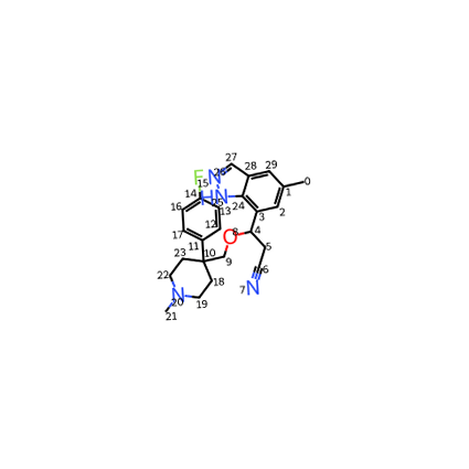 Cc1cc(C(CC#N)OCC2(c3ccc(F)cc3)CCN(C)CC2)c2[nH]ncc2c1